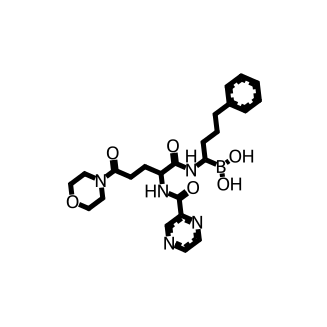 O=C(NC(CCC(=O)N1CCOCC1)C(=O)NC(CCCc1ccccc1)B(O)O)c1cnccn1